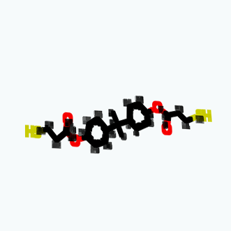 CC(C)(c1ccc(OC(=O)CCS)cc1)c1ccc(OC(=O)CCS)cc1